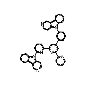 c1ccc(-c2cc(-c3cccc(-n4c5ccccc5c5cnccc54)c3)cc(-c3cccc(-n4c5ccccc5c5cnccc54)n3)n2)nc1